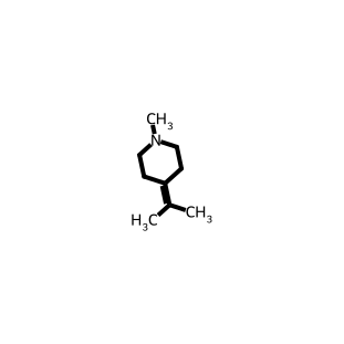 CC(C)=C1CCN(C)CC1